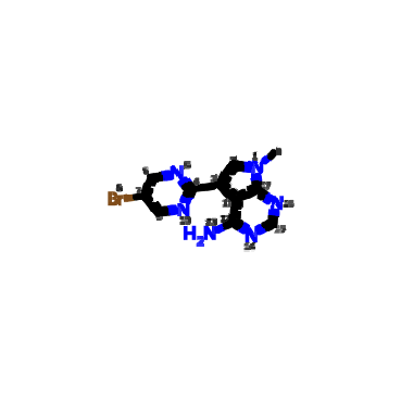 Cn1cc(-c2ncc(Br)cn2)c2c(N)ncnc21